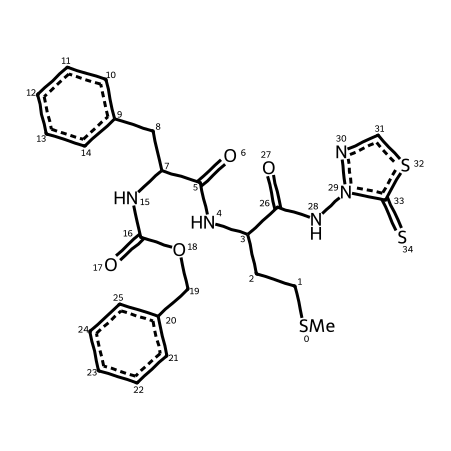 CSCCC(NC(=O)C(Cc1ccccc1)NC(=O)OCc1ccccc1)C(=O)Nn1ncsc1=S